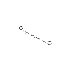 O=C(CCCCCCCCCCCCCCc1ccccc1)CSc1ccccc1